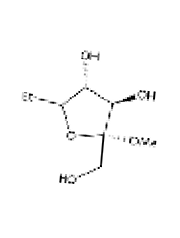 CCC1O[C@@](CO)(OC)[C@H](O)[C@H]1O